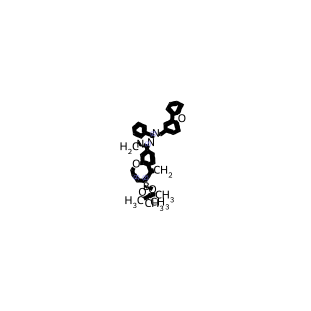 C=N/C(=N\C(=N/Cc1ccc2oc3ccccc3c2c1)c1ccccc1)c1ccc2c(c1)OC/C=C\C(B1OC(C)(C)C(C)(C)O1)=C/C2=C